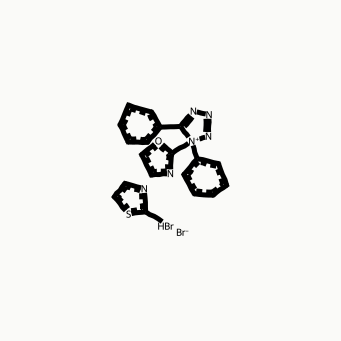 Br.Cc1nccs1.[Br-].c1ccc(C2=NN=N[N+]2(c2ccccc2)c2ncco2)cc1